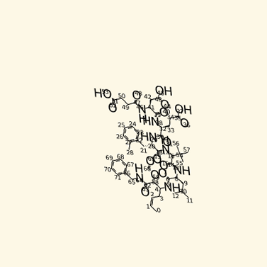 C/C=C\CC(NC(=O)[C@H](CC(C)C)NC(=O)[C@@H](NC(=O)[C@H](Cc1ccccc1C)NC(=O)[C@H](CCC(=O)O)NC(=O)[C@H](CC(=O)O)NC(=O)CCC(=O)O)C(C)(C)C)C(OC=O)C(=O)NCc1ccccc1